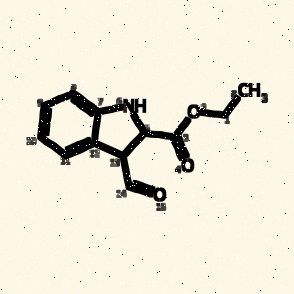 CCOC(=O)C1Nc2ccccc2C1C=O